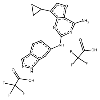 Nc1nc(Nc2ccc3cn[nH]c3c2)nc2c(C3CC3)coc12.O=C(O)C(F)(F)F.O=C(O)C(F)(F)F